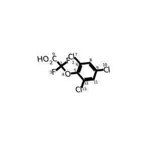 O=C(O)C(F)(F)Oc1c(Cl)cc(Cl)cc1Cl